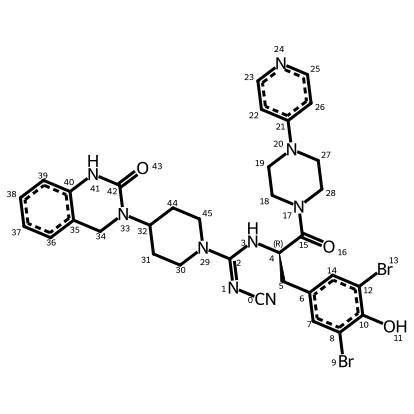 N#CN=C(N[C@H](Cc1cc(Br)c(O)c(Br)c1)C(=O)N1CCN(c2ccncc2)CC1)N1CCC(N2Cc3ccccc3NC2=O)CC1